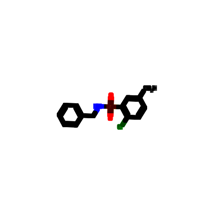 O=C(O)c1ccc(Cl)c(S(=O)(=O)NCc2ccccc2)c1